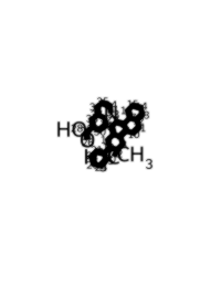 CC1(C)Cc2c(ccc3c2ccc2ccccc23)CC1c1ccccc1.O=C(O)c1ccc2ncccc2c1